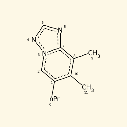 CCCc1cn2ncnc2c(C)c1C